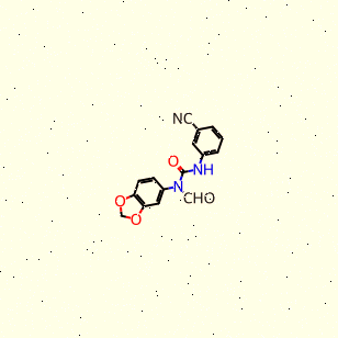 N#Cc1cccc(NC(=O)N(C=O)c2ccc3c(c2)OCO3)c1